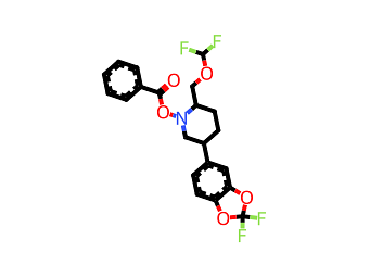 O=C(ON1CC(c2ccc3c(c2)OC(F)(F)O3)CCC1COC(F)F)c1ccccc1